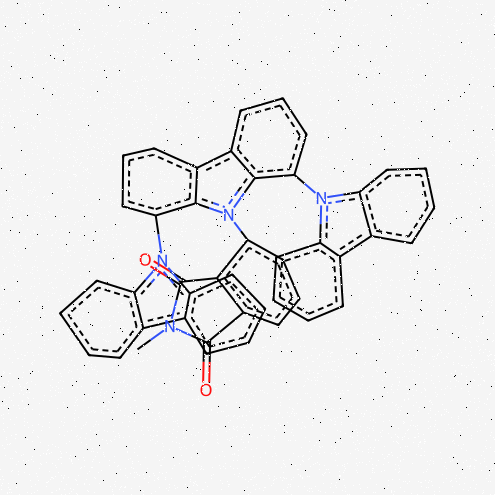 CN1C(=O)c2cccc(-n3c4c(-n5c6ccccc6c6ccccc65)cccc4c4cccc(-n5c6ccccc6c6ccccc65)c43)c2C1=O